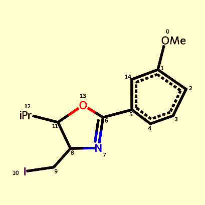 COc1cccc(C2=NC(CI)C(C(C)C)O2)c1